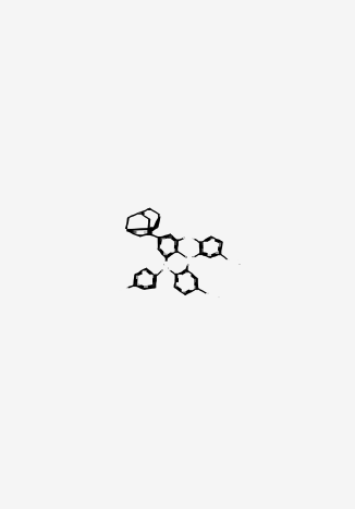 CC(C)(C)c1ccc(N2c3ccc(C(C)(C)C)cc3B3c4cc(C(C)(C)C)ccc4Oc4cc(C56CC7CC(CC(C7)C5)C6)cc2c43)cc1